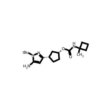 CC1(NC(=O)O[C@@H]2CC[C@H](c3cc(N)n(C(C)(C)C)n3)C2)CCC1